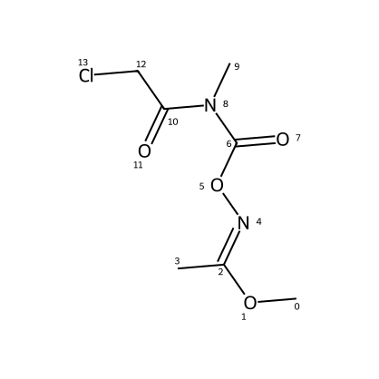 COC(C)=NOC(=O)N(C)C(=O)CCl